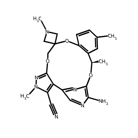 Cc1ccc2c(c1)[C@@H](C)Oc1nc(cnc1N)-c1c(nn(C)c1C#N)OCC1(CN(C)C1)O2